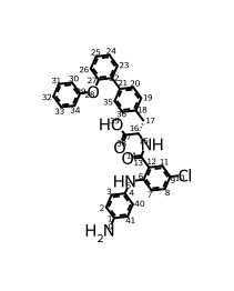 Nc1ccc(Nc2ccc(Cl)cc2C(=O)N[C@@H](Cc2ccc(-c3ccccc3Oc3ccccc3)cc2)C(=O)O)cc1